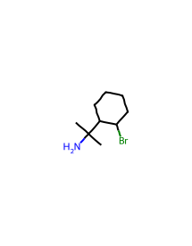 CC(C)(N)C1CCCCC1Br